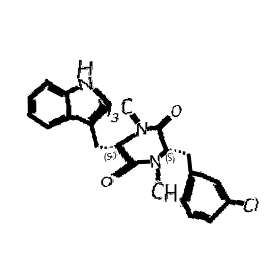 CN1C(=O)[C@H](Cc2c[nH]c3ccccc23)N(C)C(=O)[C@@H]1Cc1cccc(Cl)c1